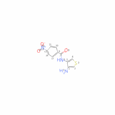 Nc1cscc1NC(=O)c1ccc([N+](=O)[O-])cc1